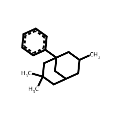 CC1CC2CC(C)(C)CC(c3ccccc3)(C1)C2